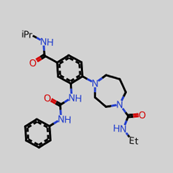 CCNC(=O)N1CCCN(c2ccc(C(=O)NC(C)C)cc2NC(=O)Nc2ccccc2)CC1